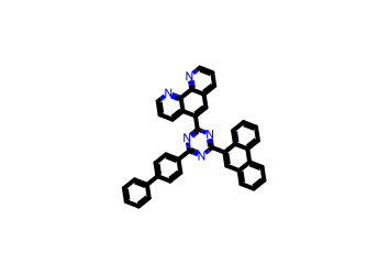 c1ccc(-c2ccc(-c3nc(-c4cc5ccccc5c5ccccc45)nc(-c4cc5cccnc5c5ncccc45)n3)cc2)cc1